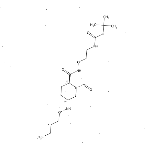 CCCCON[C@@H]1CC[C@@H](C(=O)NOCCNC(=O)OC(C)(C)C)N(C=O)C1